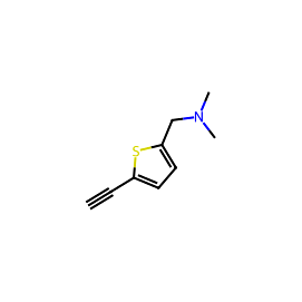 C#Cc1ccc(CN(C)C)s1